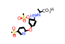 CC(=NNc1ccc(Oc2ccc(S(C)(=O)=O)cn2)cc1OS(C)(=O)=O)C(=O)O